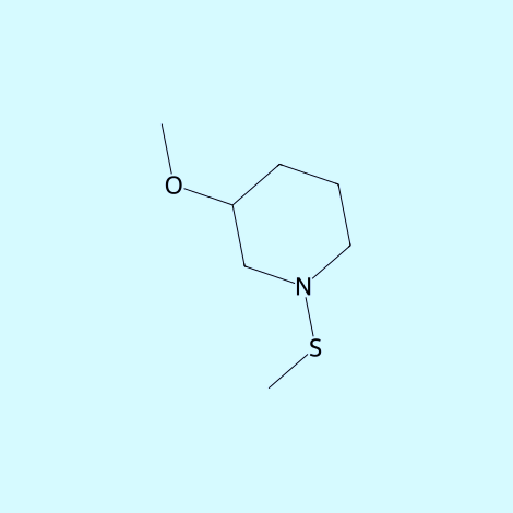 COC1CCCN(SC)C1